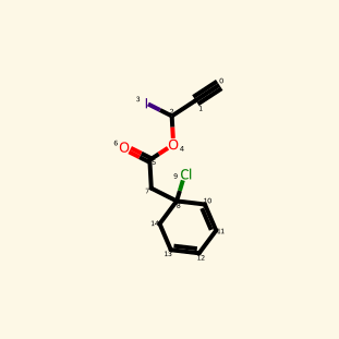 C#CC(I)OC(=O)CC1(Cl)C=CC=CC1